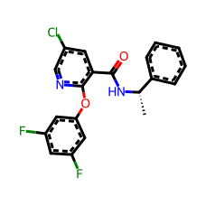 C[C@H](NC(=O)c1cc(Cl)cnc1Oc1cc(F)cc(F)c1)c1ccccc1